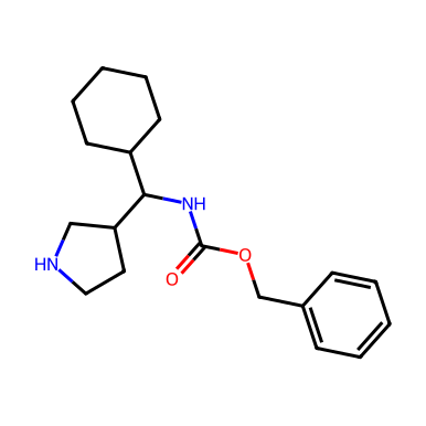 O=C(NC(C1CCCCC1)C1CCNC1)OCc1ccccc1